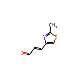 Cc1nc(C=CC=O)cs1